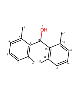 Cc1cccc(C)c1C(O)c1c(C)cccc1C